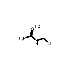 Cl.NC(=O)NCCl